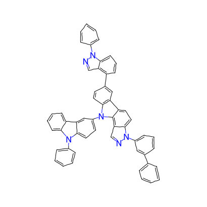 c1ccc(-c2cccc(-n3ncc4c3ccc3c5cc(-c6cccc7c6cnn7-c6ccccc6)ccc5n(-c5ccc6c(c5)c5ccccc5n6-c5ccccc5)c34)c2)cc1